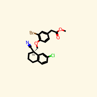 COC(=O)Cc1ccc(OC[C@@]2(C#N)CCCc3ccc(Cl)cc32)c(Br)c1